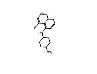 NC1CCC(Nc2cccc3cncc(F)c23)CC1